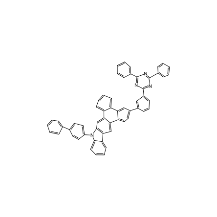 c1ccc(-c2ccc(-n3c4ccccc4c4cc5c6ccc(-c7cccc(-c8nc(-c9ccccc9)nc(-c9ccccc9)n8)c7)cc6c6ccccc6c5cc43)cc2)cc1